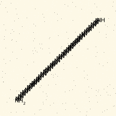 N=N/N=N/N=N/N=N/N=N/N=N/N=N/N=N/N=N/N=N/N=N/N=N/N=N/N=N/N=N/N=N/N=N/N=N/N=N/N=N/N=N/N=N/N=N/N=N/N=N/N=N/N=N/N=N/N=N/N=N/N=N/N=N/N=N/N=N/N=N/N=N/N